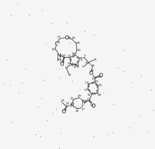 CCn1nc(CC(C)(C)COC(=O)c2ccc(C(=O)N3CCN(C(C)=O)CC3)cc2)c2c1C(=O)NCCCOCCC2